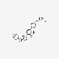 CCCc1ccc(-c2ccc(-c3ccc(OC4CCOCC4)s3)c(F)c2F)cc1